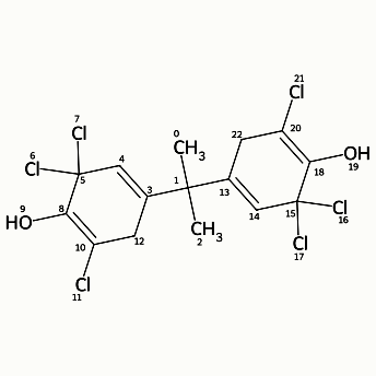 CC(C)(C1=CC(Cl)(Cl)C(O)=C(Cl)C1)C1=CC(Cl)(Cl)C(O)=C(Cl)C1